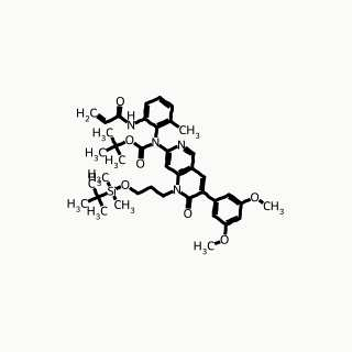 C=CC(=O)Nc1cccc(C)c1N(C(=O)OC(C)(C)C)c1cc2c(cn1)cc(-c1cc(OC)cc(OC)c1)c(=O)n2CCCO[Si](C)(C)C(C)(C)C